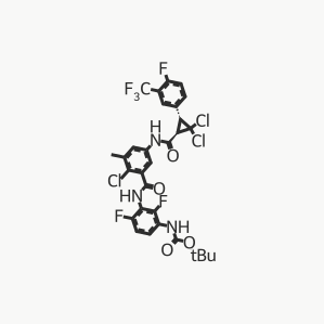 Cc1cc(NC(=O)[C@H]2[C@H](c3ccc(F)c(C(F)(F)F)c3)C2(Cl)Cl)cc(C(=O)Nc2c(F)ccc(NC(=O)OC(C)(C)C)c2F)c1Cl